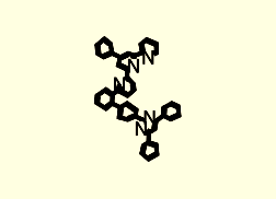 c1ccc(-c2cc(-c3ccccn3)nc(-c3cccc(-c4ccccc4-c4ccc(-c5nc(-c6ccccc6)cc(-c6ccccc6)n5)cc4)n3)c2)cc1